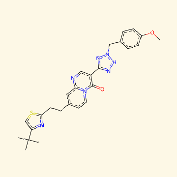 COc1ccc(Cn2nnc(-c3cnc4cc(CCc5nc(C(C)(C)C)cs5)ccn4c3=O)n2)cc1